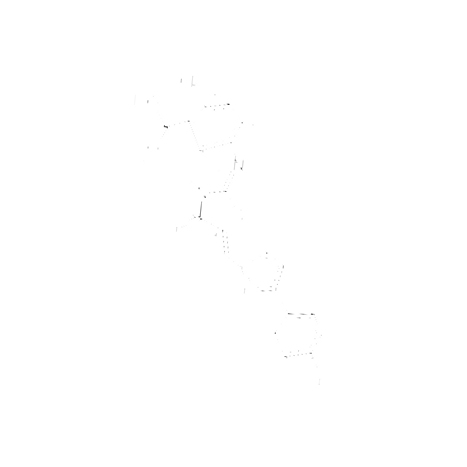 CN1C(=O)/C(=C/c2ccc(-c3ccc(Cl)cc3)o2)S/C1=N/c1ccc(Cl)c(C(=O)O)c1